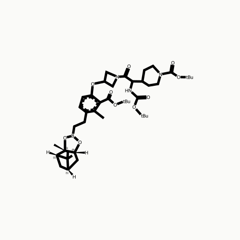 Cc1c(CCB2O[C@@H]3C[C@@H]4C[C@@H](C4(C)C)[C@]3(C)O2)ccc(OC2CN(C(=O)C(NC(=O)OC(C)(C)C)C3CCN(C(=O)OC(C)(C)C)CC3)C2)c1C(=O)OC(C)(C)C